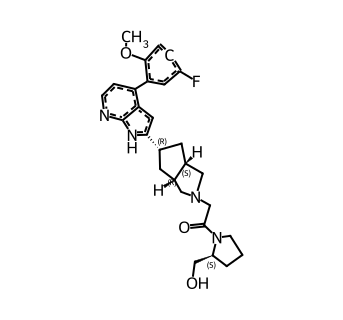 COc1ccc(F)cc1-c1ccnc2[nH]c([C@@H]3C[C@@H]4CN(CC(=O)N5CCC[C@H]5CO)C[C@@H]4C3)cc12